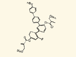 C=C(COC)C(=O)Oc1ccc(-c2ccc(OC(=O)C(=C)COC)c(-c3ccc(-c4ccc(CCCC)cc4)cc3)c2)c(F)c1